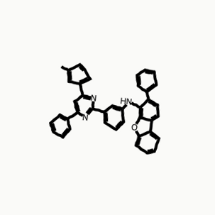 Cc1cccc(-c2cc(-c3ccccc3)nc(-c3cccc(Nc4c(-c5ccccc5)ccc5c4oc4ccccc45)c3)n2)c1